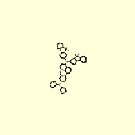 CC1(C)c2ccccc2-c2ccc(N(c3ccc4c(c3)C(C)(C)c3ccccc3-4)c3ccc4c5c(cccc35)-c3ccc(N(c5ccccc5)c5ccccc5)cc3O4)cc21